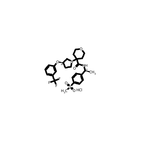 C[C@H](NC(=O)C1(N2CC[C@@H](Oc3cccc(C(F)(F)F)c3)C2)CCOCC1)c1ccc(S(C)(=O)=O)cc1.Cl